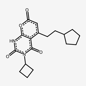 O=c1cc(CCC2CCCC2)c2c(=O)n(C3CCC3)c(=O)[nH]c2o1